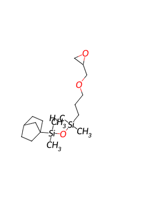 C[Si](C)(CCCOCC1CO1)O[Si](C)(C)C12CCC(CC1)C2